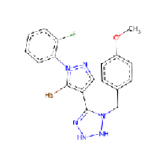 COc1ccc(CN2NNN=C2c2cnn(-c3ccccc3F)c2S)cc1